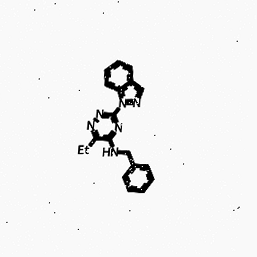 CCc1nnc(-n2ncc3ccccc32)nc1NCc1ccccc1